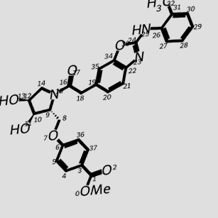 COC(=O)c1ccc(OC[C@@H]2[C@@H](O)[C@@H](O)CN2C(=O)Cc2ccc3nc(Nc4ccccc4C)oc3c2)cc1